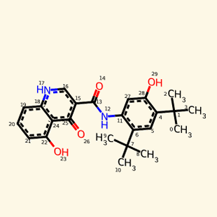 CC(C)(C)c1cc(C(C)(C)C)c(NC(=O)c2c[nH]c3cccc(O)c3c2=O)cc1O